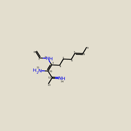 C=CN/C(CCC/C=C/C)=C(\N)C(C)=N